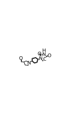 O=CC1CCN(c2ccc(N3CCC(=O)NC3=O)cc2)C1